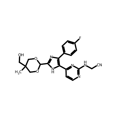 CC1(CO)COC(c2nc(-c3ccc(F)cc3)c(-c3ccnc(NCC#N)n3)[nH]2)OC1